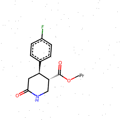 CC(C)OC(=O)[C@@H]1CNC(=O)C[C@H]1c1ccc(F)cc1